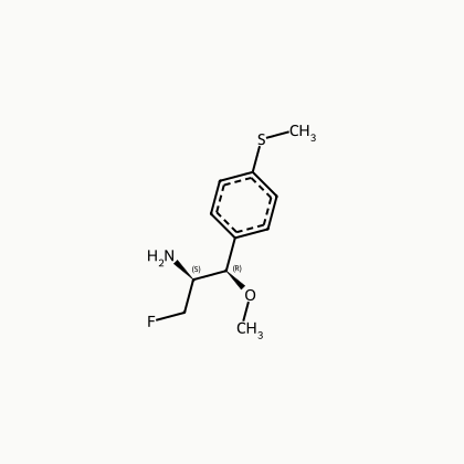 CO[C@H](c1ccc(SC)cc1)[C@H](N)CF